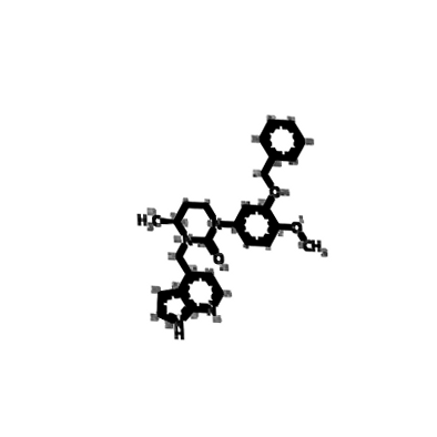 COc1ccc(N2CC[C@H](C)N(Cc3ccnc4[nH]ccc34)C2=O)cc1OCc1ccccc1